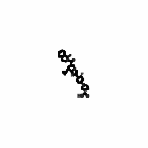 C[C@@H]1c2ccccc2CCN1C(=O)c1cc(C2CC2)c2nc(-c3ccc(N4CC[C@H](C(=O)O)C4)cc3F)cn2c1